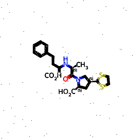 C[C@H](NC(CCc1ccccc1)C(=O)O)C(=O)N1C[C@@H](C2SCCS2)C[C@H]1C(=O)O